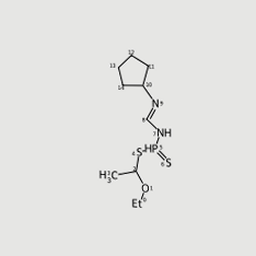 CCOC(C)S[PH](=S)NC=NC1CCCC1